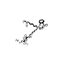 CC(C)(C)OC(=O)NCCCCCCN(CCCCCNC=O)[S+]([O-])c1ccccc1[N+](=O)[O-]